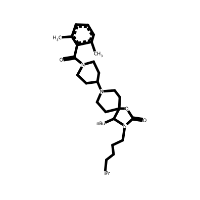 CCCCC1N(CCCCC(C)C)C(=O)OC12CCN(C1CCN(C(=O)c3c(C)cccc3C)CC1)CC2